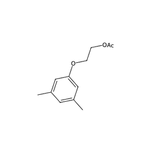 CC(=O)OCCOc1cc(C)cc(C)c1